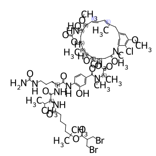 COc1cc2cc(c1Cl)N(C)C(=O)C[C@H](OC(=O)[C@H](C)N(C)C(=O)c1ccc(NC(=O)[C@H](CCCNC(N)=O)NC(=O)[C@@H](NC(=O)CCCCC(C)(C)OC(=O)C(CBr)CBr)C(C)C)c(O)c1)[C@]1(C)O[C@H]1[C@H](C)[C@@H]1C[C@@](O)(NC(=O)O1)[C@H](OC)/C=C/C=C(\C)C2